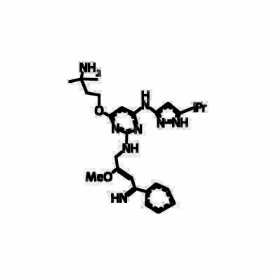 CO/C(=C\C(=N)c1ccccc1)CNc1nc(Nc2cc(C(C)C)[nH]n2)cc(OCCC(C)(C)N)n1